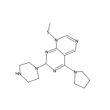 CSN1C=NC=C2C(N3CCCC3)=NC(N3CCNCC3)N=C21